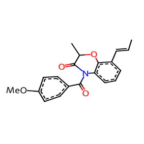 C/C=C/c1cccc2c1OC(C)C(=O)N2C(=O)c1ccc(OC)cc1